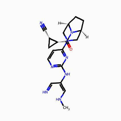 CN/C=C(\C=N)Nc1nccc(N2C[C@H]3CC[C@@H](C2)N3C(=O)[C@@H]2C[C@@H]2C#N)n1